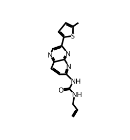 C=CCNC(=O)Nc1ccc2ncc(-c3ccc(C)s3)nc2n1